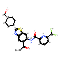 COC(=O)c1cc2nc([C@H]3CC[C@H](CO)CC3)sc2cc1NC(=O)c1cccc(C(F)F)n1